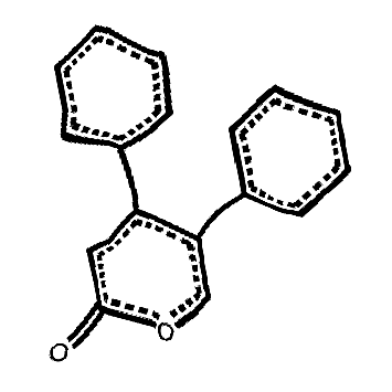 O=c1cc(-c2ccccc2)c(-c2ccccc2)co1